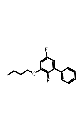 CCCCOc1cc(F)cc(-c2ccccc2)c1F